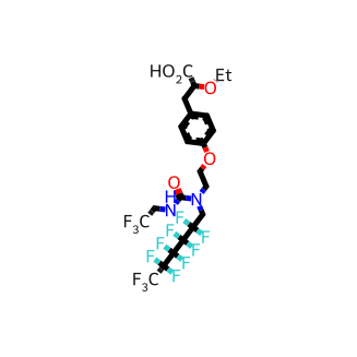 CCOC(Cc1ccc(OCCN(CC(F)(F)C(F)(F)C(F)(F)C(F)(F)C(F)(F)F)C(=O)NCC(F)(F)F)cc1)C(=O)O